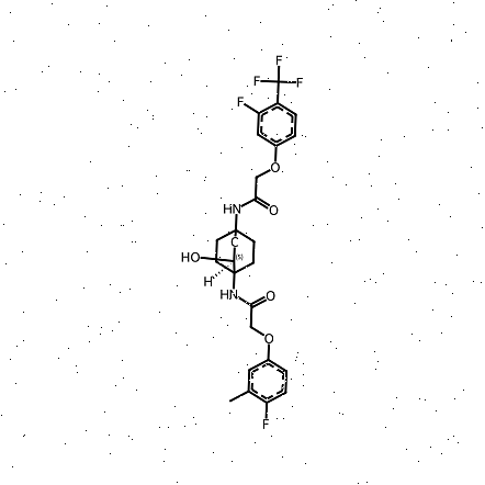 Cc1cc(OCC(=O)NC23CCC(NC(=O)COc4ccc(C(F)(F)F)c(F)c4)(CC2)C[C@@H]3O)ccc1F